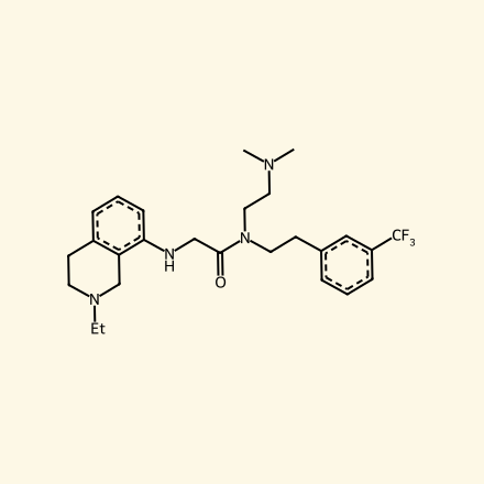 CCN1CCc2cccc(NCC(=O)N(CCc3cccc(C(F)(F)F)c3)CCN(C)C)c2C1